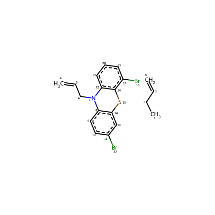 C=CCC.C=CCN1c2ccc(Br)cc2Sc2c(Br)cccc21